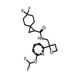 O=C(NCC1(c2cccc(OC(F)F)n2)CCO1)C1CC12CCC(F)(F)CC2